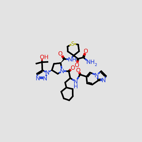 CC(C)(O)c1cnnn1[C@H]1C[C@@H](C(=O)NC2(C(=O)C(N)=O)CCSCC2)N(C(=O)C(CC2CCCCC2)NC(=O)c2ccc3nccn3c2)C1